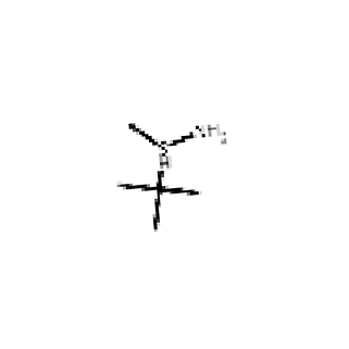 C[SH](N)C(C)(C)C